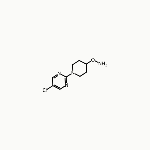 NOC1CCN(c2ncc(Cl)cn2)CC1